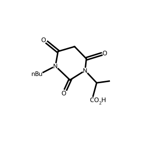 CCCCN1C(=O)CC(=O)N(C(C)C(=O)O)C1=O